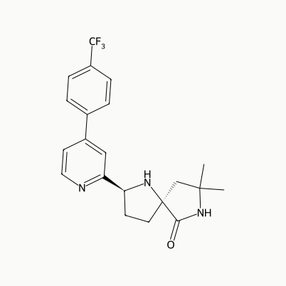 CC1(C)C[C@@]2(CC[C@@H](c3cc(-c4ccc(C(F)(F)F)cc4)ccn3)N2)C(=O)N1